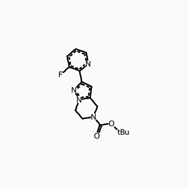 CC(C)(C)OC(=O)N1CCn2nc(-c3ncccc3F)cc2C1